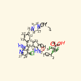 C=CC(=O)Nc1cc(-c2c(-c3ccc(CN4CCN(C)CC4)cc3)[nH]c3nccc(Cl)c23)ccc1C.O=C(O)C(F)(F)F